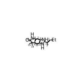 CCC=C(C)C1Nc2cc3c(cc2N1)C(C)(C)C(=O)N3